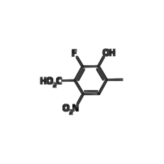 Cc1cc([N+](=O)[O-])c(C(=O)O)c(F)c1O